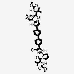 COC(=O)N[C@H](C(=O)N1C[Si](C)(C)C[C@H]1c1ncc(-c2ccc(-c3ccc(-c4[nH]c([C@@H]5CCCN5C(=O)[C@@H](NC(=O)OC)C(C)C)nc4Cl)cc3)cc2)[nH]1)C(C)C